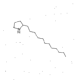 CCCCCCCCCCCCC1CCCN1